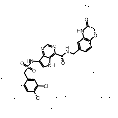 O=C1COc2ccc(CNC(=O)c3ncnc4c(NS(=O)(=O)Cc5ccc(Cl)c(Cl)c5)c[nH]c34)cc2N1